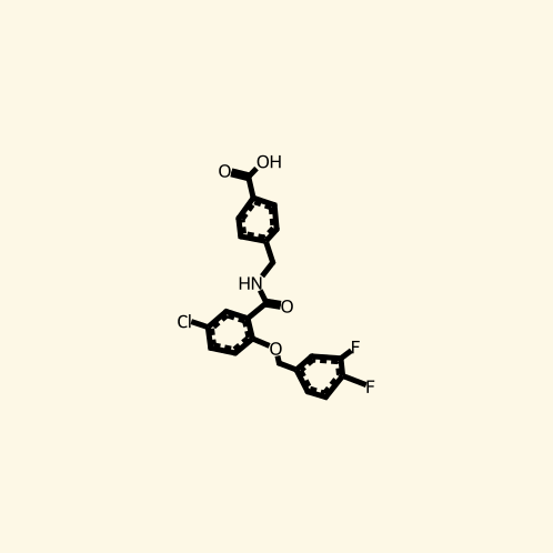 O=C(O)c1ccc(CNC(=O)c2cc(Cl)ccc2OCc2ccc(F)c(F)c2)cc1